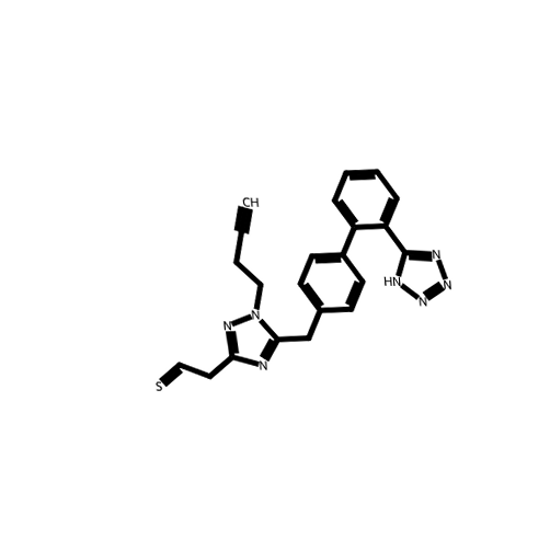 C#CCCn1nc(CC=S)nc1Cc1ccc(-c2ccccc2-c2nnn[nH]2)cc1